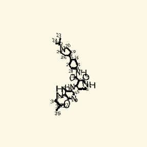 Cc1c(Nc2cc[nH]c(=O)c2C(=O)Nc2ccc(C3CCN(C(C)C)CC3)cc2)cnc2c1NCC(C)O2